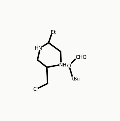 CC(C)(C)OC=O.CCC1CNC(CCl)CN1